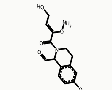 COc1ccc2c(c1)CCN(C(=O)/C(=C/CO)ON)C2C=O